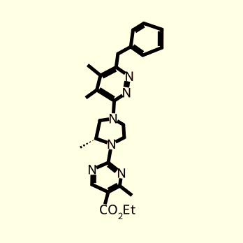 CCOC(=O)c1cnc(N2CCN(c3nnc(Cc4ccccc4)c(C)c3C)C[C@H]2C)nc1C